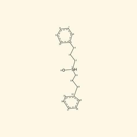 [O][SiH](CCCc1ccccc1)CCCc1ccccc1